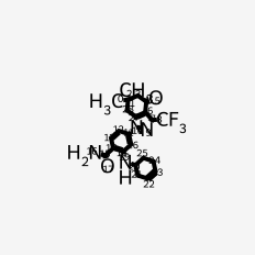 CC1(C)CC(=O)c2c(C(F)(F)F)nn(-c3ccc(C(N)=O)c(NC4CC#CCC4)c3)c2C1